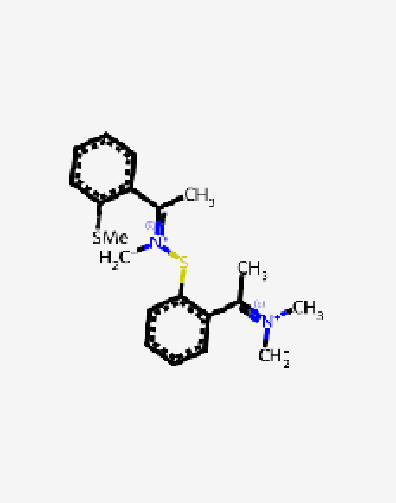 [CH2-]/[N+](C)=C(/C)c1ccccc1S/[N+]([CH2-])=C(\C)c1ccccc1SC